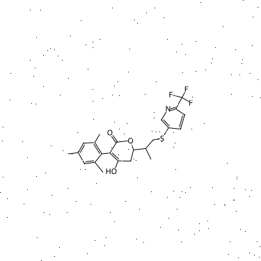 Cc1cc(C)c(C2=C(O)CC(C(C)CSc3ccc(C(F)(F)F)nc3)OC2=O)c(C)c1